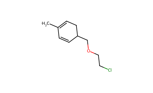 [CH2]C1=CCC(COCCCl)C=C1